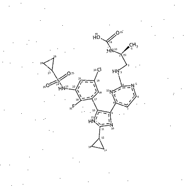 C[C@@H](CNc1nccc(-c2nc(C3CC3)[nH]c2-c2cc(Cl)cc(NS(=O)(=O)C3CC3)c2F)n1)NC(=O)O